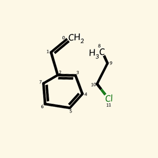 C=Cc1ccccc1.CCCCl